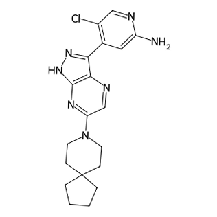 Nc1cc(-c2n[nH]c3nc(N4CCC5(CCCC5)CC4)cnc23)c(Cl)cn1